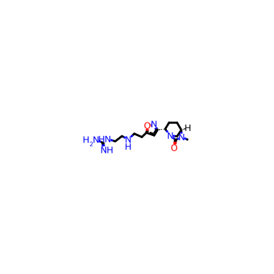 CN1C(=O)N2C[C@H]1CC[C@H]2c1cc(CCNCCNC(=N)N)on1